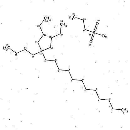 CCCCCCCCCCCC[P+](CCCC)(CCCC)CCCC.CCCS(=O)(=O)[O-]